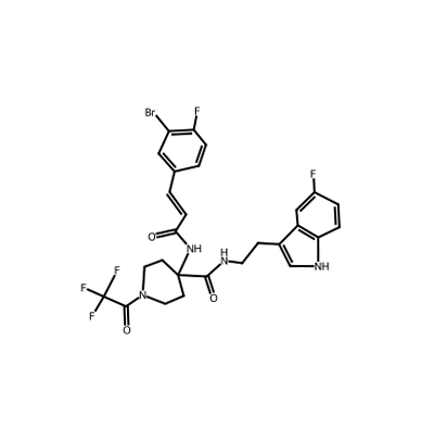 O=C(/C=C/c1ccc(F)c(Br)c1)NC1(C(=O)NCCc2c[nH]c3ccc(F)cc23)CCN(C(=O)C(F)(F)F)CC1